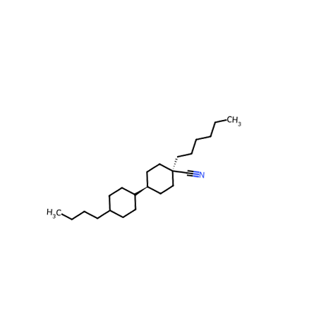 CCCCCC[C@]1(C#N)CC[C@@H](C2CCC(CCCC)CC2)CC1